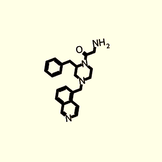 NCC(=O)N1CCN(Cc2cccc3cnccc23)CC1Cc1ccccc1